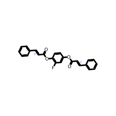 O=C(/C=C/c1ccccc1)Oc1ccc(OC(=O)/C=C/c2ccccc2)c(F)c1